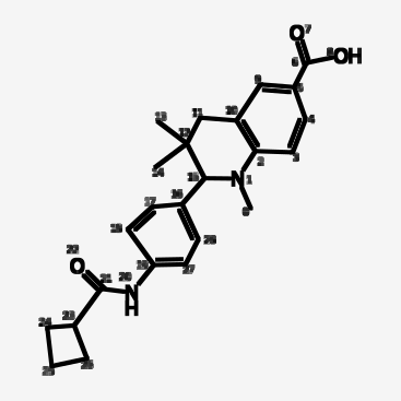 CN1c2ccc(C(=O)O)cc2CC(C)(C)C1c1ccc(NC(=O)C2CCC2)cc1